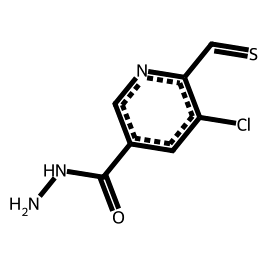 NNC(=O)c1cnc(C=S)c(Cl)c1